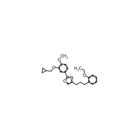 CCOc1ccccc1CCCc1coc(-c2ccc(OC)c(OCC3CC3)c2)n1